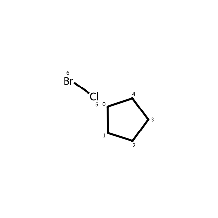 C1CCCC1.ClBr